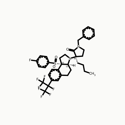 CCCC[C@@]1(N2CC[C@]3(S(=O)(=O)c4ccc(F)cc4)c4ccc(C(F)(C(F)(F)F)C(F)(F)F)cc4CC[C@H]23)CCN(Cc2ccccc2)C1=O